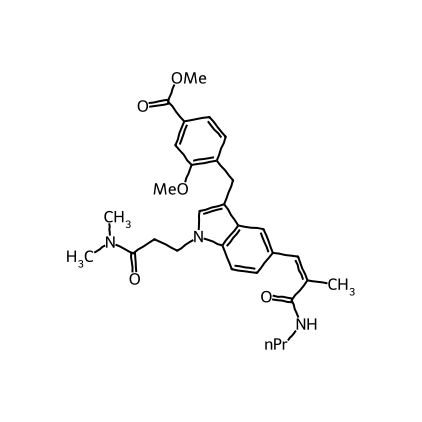 CCCNC(=O)/C(C)=C\c1ccc2c(c1)c(Cc1ccc(C(=O)OC)cc1OC)cn2CCC(=O)N(C)C